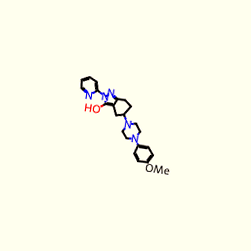 COc1ccc(N2CCN(C3CCc4nn(-c5ccccn5)c(O)c4C3)CC2)cc1